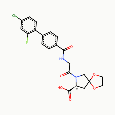 O=C(NCC(=O)N1CC2(C[C@H]1C(=O)O)OCCO2)c1ccc(-c2ccc(Cl)cc2F)cc1